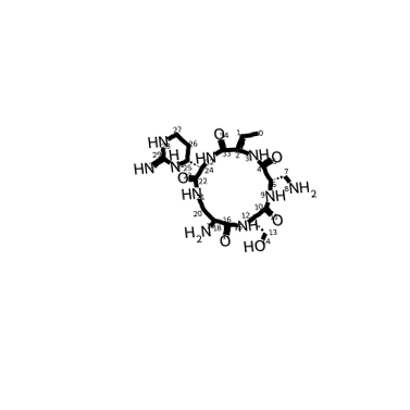 C/C=C1\NC(=O)[C@H](CN)NC(=O)[C@H](CO)NC(=O)C(N)CNC(=O)[C@H](C2CCNC(=N)N2)NC1=O